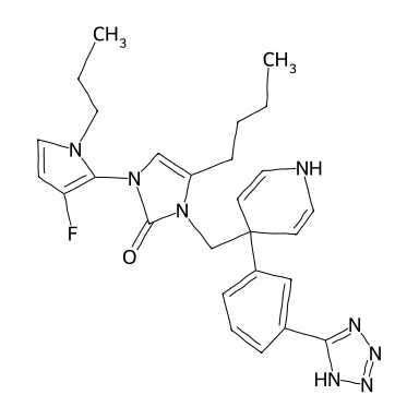 CCCCc1cn(-c2c(F)ccn2CCC)c(=O)n1CC1(c2cccc(-c3nnn[nH]3)c2)C=CNC=C1